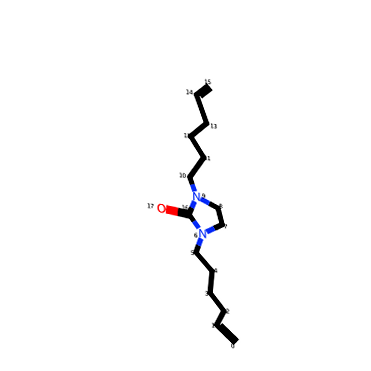 C=CCCCCN1CCN(CCCCC=C)C1=O